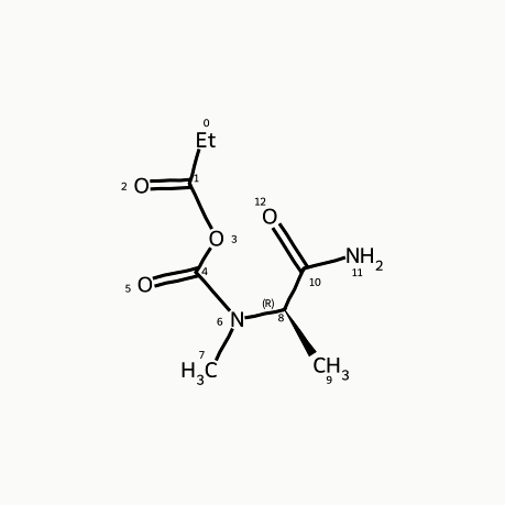 CCC(=O)OC(=O)N(C)[C@H](C)C(N)=O